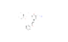 CC1c2cccc(O)c2C(=O)C2=C(O)[C@]3(O)C(=O)C(C(N)=O)=C(O)[C@@H](N(C)C)C3C(OC(=O)C3CCCCCC3)C21